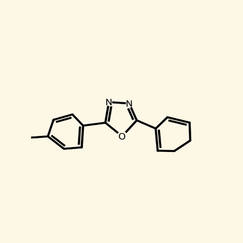 Cc1ccc(-c2nnc(C3=CCCC=C3)o2)cc1